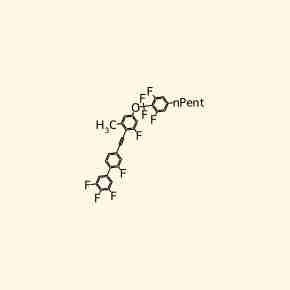 CCCCCc1cc(F)c(C(F)(F)Oc2cc(C)c(C#Cc3ccc(-c4cc(F)c(F)c(F)c4)c(F)c3)c(F)c2)c(F)c1